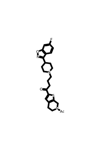 CC(=O)N1CCc2cc(C(=O)CCCN3CCC(c4noc5cc(F)ccc45)CC3)sc2C1